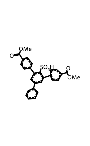 COC(=O)c1ccc(-c2cc(-c3ccccc3)cc(-c3ccc(C(=O)OC)cc3)c2S(=O)(=O)O)cc1